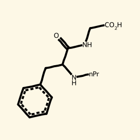 CCCNC(Cc1ccccc1)C(=O)NCC(=O)O